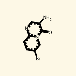 Nc1cnc2ccc(Br)cn2c1=O